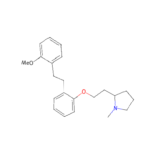 COc1ccccc1CCc1ccccc1OCCC1CCCN1C